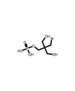 O=P(O)(O)OCC(CO)(CO)CBr